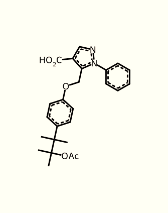 CC(=O)OC(C)(C)C(C)(C)c1ccc(OCc2c(C(=O)O)cnn2-c2ccccc2)cc1